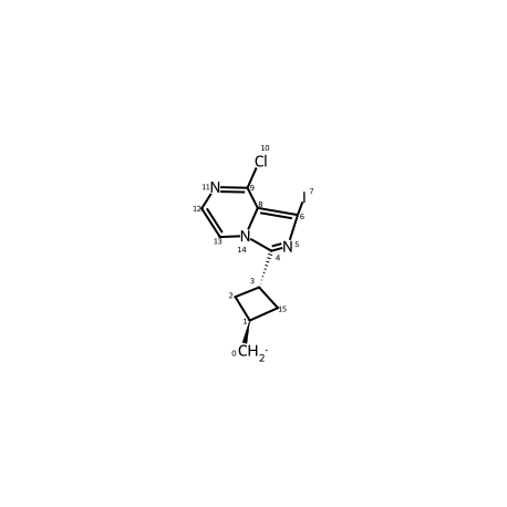 [CH2][C@H]1C[C@H](c2nc(I)c3c(Cl)nccn32)C1